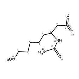 CCCCCCCCCCCCCC(C[SH](=O)=O)NC(N)=O